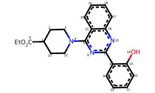 CCOC(=O)C1CCN(c2nc(-c3ccccc3O)nc3ccccc23)CC1